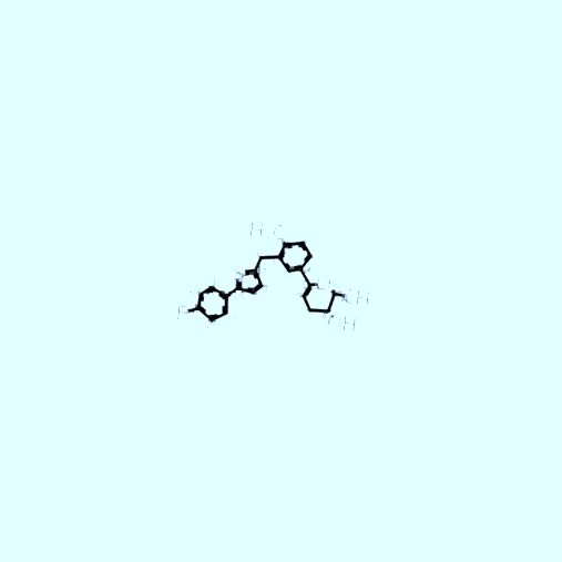 Cc1ccc(C2=CCC(O)C(C)O2)cc1Cc1ccc(-c2ccc(F)cc2)s1